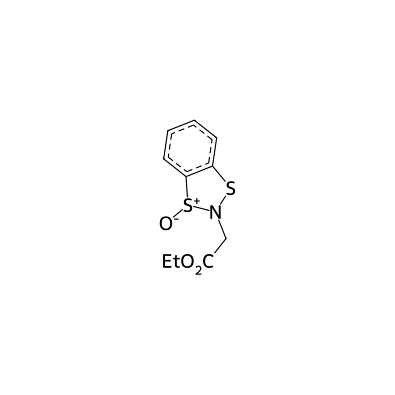 CCOC(=O)CN1Sc2ccccc2[S+]1[O-]